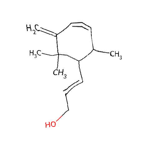 C=C1C=CC(C)C(/C=C/CO)C1(C)C